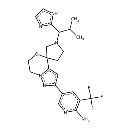 CC(C)C(c1ncc[nH]1)N1CCC2(C1)OCCn1nc(-c3cnc(N)c(C(F)(F)F)c3)cc12